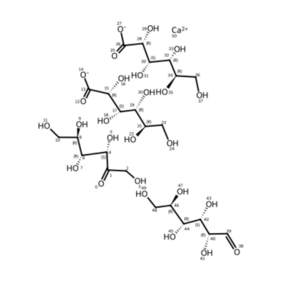 O=C(CO)[C@@H](O)[C@H](O)[C@H](O)CO.O=C([O-])[C@H](O)[C@@H](O)[C@H](O)[C@H](O)CO.O=C([O-])[C@H](O)[C@@H](O)[C@H](O)[C@H](O)CO.O=C[C@H](O)[C@@H](O)[C@H](O)[C@H](O)CO.[Ca+2]